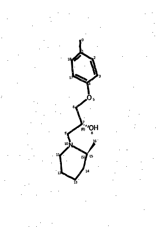 Cc1ccc(OC[C@H](O)CN2CCCC[C@@H]2C)cc1